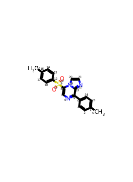 Cc1ccc(-c2ncc(S(=O)(=O)c3ccc(C)cc3)n3ccnc23)cc1